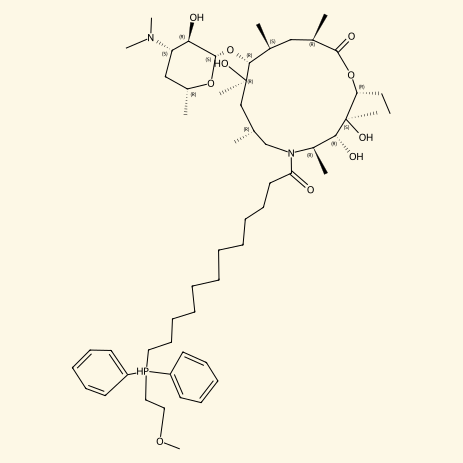 CC[C@H]1OC(=O)[C@H](C)C[C@H](C)[C@@H](O[C@@H]2O[C@H](C)C[C@H](N(C)C)[C@H]2O)[C@](C)(O)C[C@@H](C)CN(C(=O)CCCCCCCCCCC[PH](CCOC)(c2ccccc2)c2ccccc2)[C@H](C)[C@@H](O)[C@]1(C)O